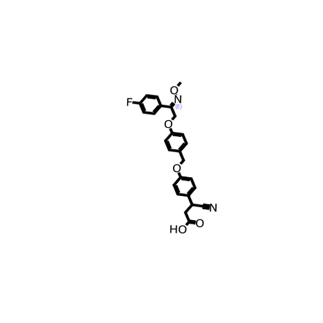 CO/N=C(/COc1ccc(COc2ccc(C(C#N)CC(=O)O)cc2)cc1)c1ccc(F)cc1